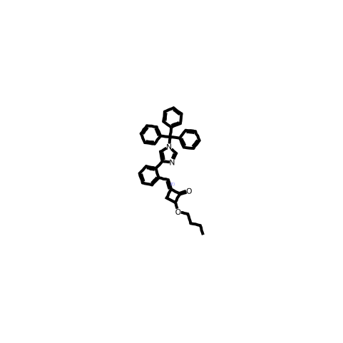 CCCCOC1C/C(=C\c2ccccc2-c2cn(C(c3ccccc3)(c3ccccc3)c3ccccc3)cn2)C1=O